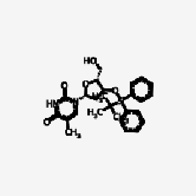 Cc1cn([C@H]2CC(O[Si](c3ccccc3)(c3ccccc3)C(C)(C)C)[C@@H](CO)O2)c(=O)[nH]c1=O